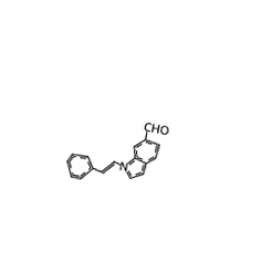 O=Cc1ccc2ccn(C=Cc3ccccc3)c2c1